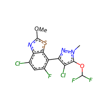 COc1nc2c(Cl)cc(F)c(-c3nn(C)c(OC(F)F)c3Cl)c2s1